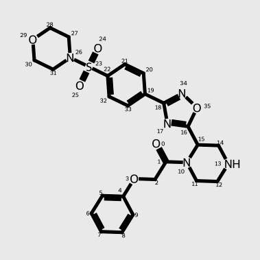 O=C(COc1ccccc1)N1CCNCC1c1nc(-c2ccc(S(=O)(=O)N3CCOCC3)cc2)no1